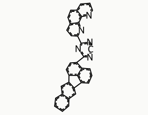 c1ccc2cc3c(cc2c1)-c1cccc2c(-c4ncnc(-c5ccc6ccc7cccnc7c6n5)n4)ccc-3c12